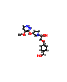 CCOc1ccnnc1OC1CCN(C(O)COc2ccc(CO)cc2)C1